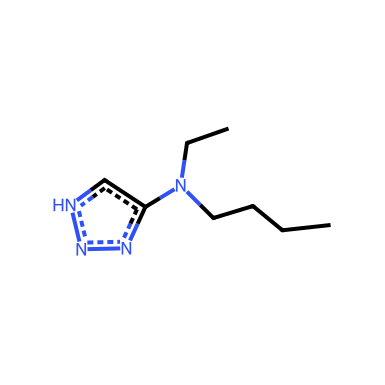 CCCCN(CC)c1c[nH]nn1